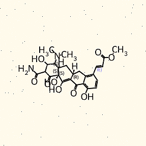 COC(=O)/C=C/c1ccc(O)c2c1C[C@H]1C[C@H]3[C@H](N(C)C)C(O)C(C(N)=O)C(=O)[C@@]3(O)C(O)=C1C2=O